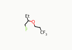 CCC(CF)OCCC(F)(F)F